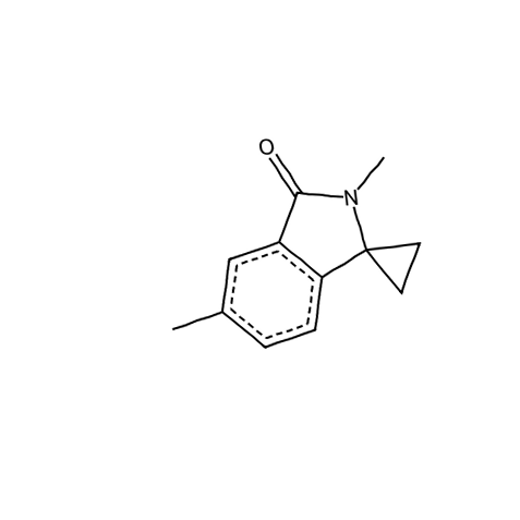 Cc1ccc2c(c1)C(=O)N(C)C21CC1